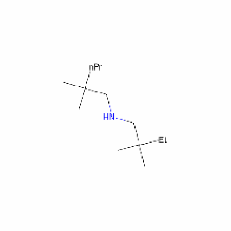 CCCC(C)(C)CNCC(C)(C)CC